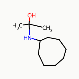 CC(C)(O)NC1CCCCCCC1